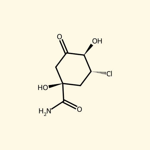 NC(=O)[C@]1(O)CC(=O)[C@@H](O)[C@H](Cl)C1